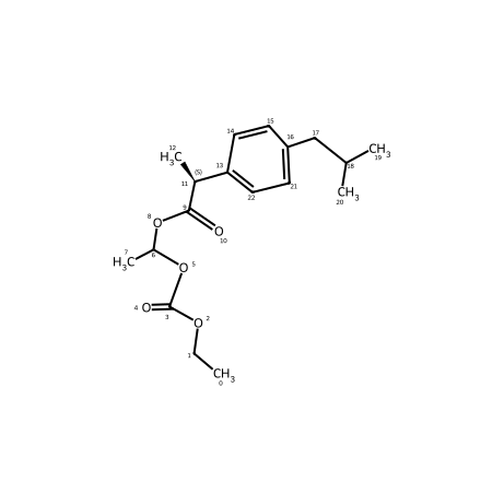 CCOC(=O)OC(C)OC(=O)[C@@H](C)c1ccc(CC(C)C)cc1